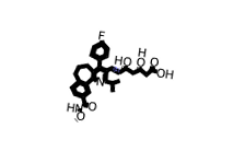 CONC(=O)c1ccc2c(c1)-c1nc(C(C)C)c(/C=C/[C@@H](O)C[C@@H](O)CC(=O)O)c(-c3ccc(F)cc3)c1CCC2